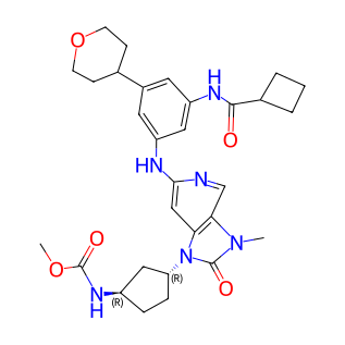 COC(=O)N[C@@H]1CC[C@@H](n2c(=O)n(C)c3cnc(Nc4cc(NC(=O)C5CCC5)cc(C5CCOCC5)c4)cc32)C1